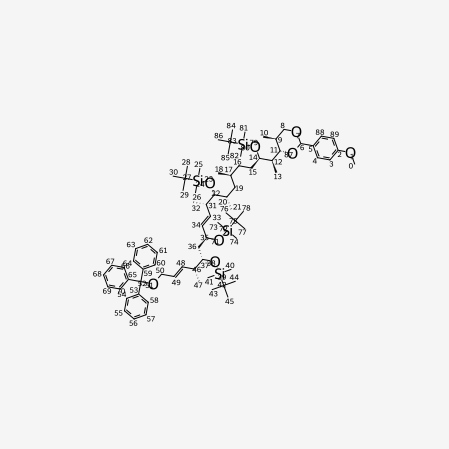 COc1ccc(C2OC[C@H](C)[C@@H]([C@@H](C)[C@@H](CC[C@H](C)C[C@H](C)[C@@H](O[Si](C)(C)C(C)(C)C)[C@@H](C)C=C[C@H](C[C@H](O[Si](C)(C)C(C)(C)C)[C@H](C)C=CCOC(c3ccccc3)(c3ccccc3)c3ccccc3)O[Si](C)(C)C(C)(C)C)O[Si](C)(C)C(C)(C)C)O2)cc1